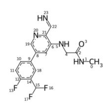 CNC(=O)CNc1cc(-c2ccc(F)c(C(F)F)c2)cnc1C=N